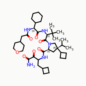 CC(C)[C@@]1(C2CCC2)C[C@@H](C(=O)NC(CC2CCC2)C(=O)C(N)=O)N(C(=O)[C@@H](NC(=O)[C@@H](NC(=O)CC2CCOCC2)C2CCCCC2)C(C)(C)C)C1